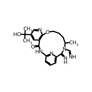 CC1CCCOc2ncc(C(C)(C)O)cc2C(=O)Nc2cccc(n2)C(=N)N1C=N